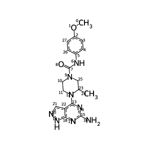 COc1ccc(NC(=O)N2CCN(c3nc(N)nc4[nH]ncc34)C(C)C2)cc1